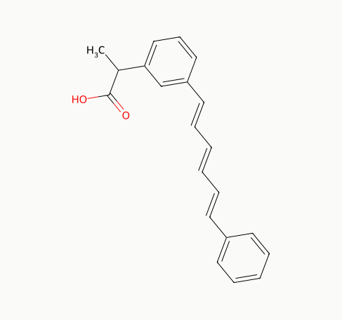 CC(C(=O)O)c1cccc(C=CC=CC=Cc2ccccc2)c1